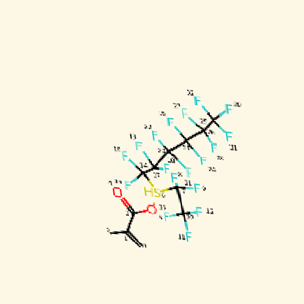 C=C(C)C(=O)O[SH](C(F)(F)C(F)(F)F)C(F)(F)C(F)(F)C(F)(F)C(F)(F)C(F)(F)C(F)(F)F